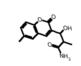 Cc1ccc2oc(=O)c(C(O)C(C)C(N)=O)cc2c1